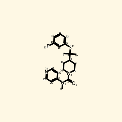 CN(C(=O)N1CCC(C(C)(C)Sc2cccc(F)c2)CC1)c1ccncc1